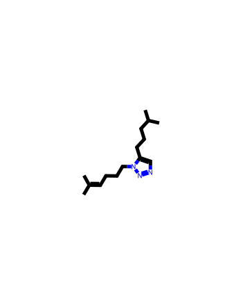 CC(C)=CCCCn1nncc1CCCC(C)C